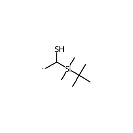 [CH2]C(S)[Si](C)(C)C(C)(C)C